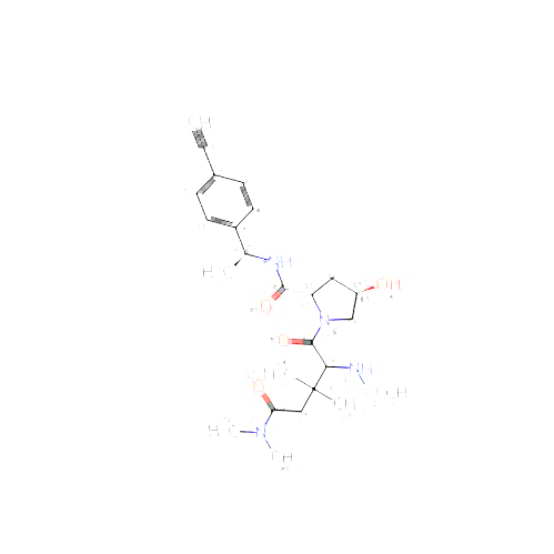 C#Cc1ccc([C@H](C)NC(=O)[C@@H]2C[C@@H](O)CN2C(=O)C(NC(=O)O)C(C)(C)CC(=O)N(C)C)cc1